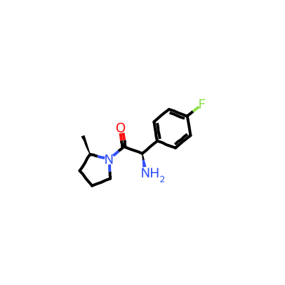 C[C@@H]1CCCN1C(=O)[C@H](N)c1ccc(F)cc1